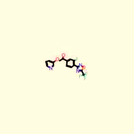 O=C(COc1cccnc1)c1ccc(-c2noc(C(F)(F)F)n2)c(F)c1